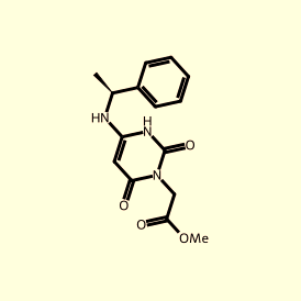 COC(=O)Cn1c(=O)cc(N[C@@H](C)c2ccccc2)[nH]c1=O